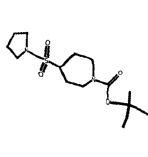 CC(C)(C)OC(=O)N1CCC(S(=O)(=O)N2CCCC2)CC1